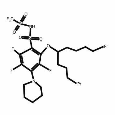 CC(C)CCCCC(CCCC(C)C)Oc1c(F)c(N2CCCCC2)c(F)c(F)c1S(=O)(=O)NS(=O)(=O)C(F)(F)F